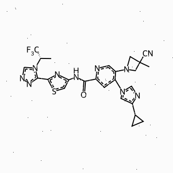 C[C@H](n1cnnc1-c1nc(NC(=O)c2cc(-n3cnc(C4CC4)c3)c(N3CC(C)(C#N)C3)cn2)cs1)C(F)(F)F